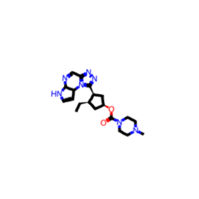 CC[C@@H]1C[C@H](OC(=O)N2CCN(C)CC2)C[C@@H]1c1nnc2n1C1C=CNC1N=C2